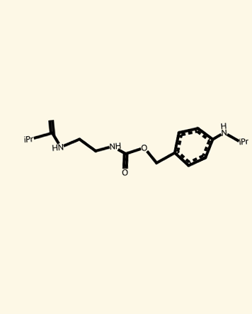 C=C(NCCNC(=O)OCc1ccc(NC(C)C)cc1)C(C)C